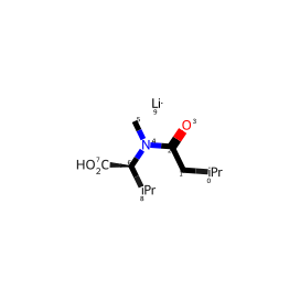 CC(C)CC(=O)N(C)[C@H](C(=O)O)C(C)C.[Li]